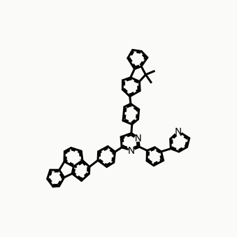 CC1(C)c2ccccc2-c2ccc(-c3ccc(-c4cc(-c5ccc(-c6ccc7c8c(cccc68)-c6ccccc6-7)cc5)nc(-c5cccc(-c6cccnc6)c5)n4)cc3)cc21